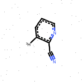 [3H]c1cccnc1C#N